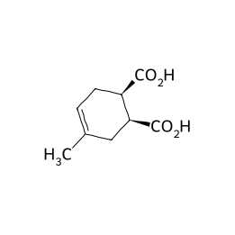 CC1=CC[C@@H](C(=O)O)[C@@H](C(=O)O)C1